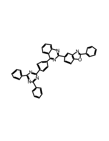 c1ccc(-c2nc(-c3ccccc3)nc(-c3ccc(-c4nc(-c5ccc6oc(-c7ccccc7)nc6c5)nc5ccccc45)cc3)n2)cc1